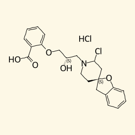 Cl.O=C(O)c1ccccc1OC[C@@H](O)CN1CC[C@@]2(Cc3ccccc3O2)CC1Cl